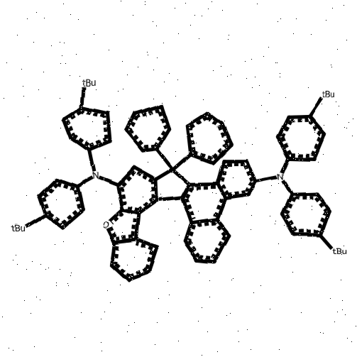 CC(C)(C)c1ccc(N(c2ccc(C(C)(C)C)cc2)c2ccc3c4c(c5ccccc5c3c2)-c2c(cc(N(c3ccc(C(C)(C)C)cc3)c3ccc(C(C)(C)C)cc3)c3oc5ccccc5c23)C4(c2ccccc2)c2ccccc2)cc1